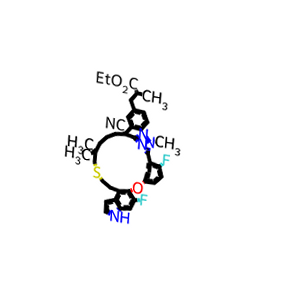 CCOC(=O)C(C)Cc1cccc(C2(C#N)CCCC(C)(C)CSCCc3c(c(F)cc4[nH]ccc34)Oc3ccc(F)c(c3)-c3nc2nn3C)c1